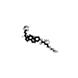 C[C@H](CCC(=O)OC(C)(C)C)C1CCC2C3CCC4C[C@H](OC(=O)[C@@H](N)CCCOCOC(C)(C)C)CCC4(C)[C@@H]3C=CC21C